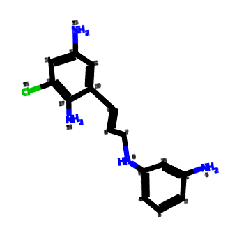 Nc1cccc(NCC=Cc2cc(N)cc(Cl)c2N)c1